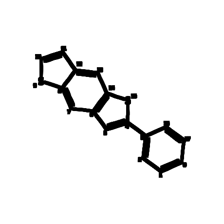 c1ccc(-c2cc3cc4sccc4cc3s2)cc1